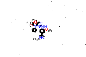 CC(C)Oc1cc(-c2cnn(C)c2)ccc1Nc1ncc2c(n1)N(C1CCCC1)C(=O)C(C)(C)O2